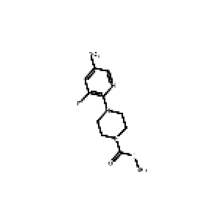 CC(C)(C)OC(=O)N1CCN(c2ncc([N+](=O)[O-])cc2F)CC1